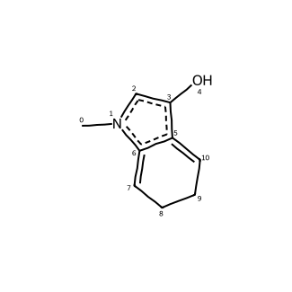 Cn1cc(O)c2c1=CCCC=2